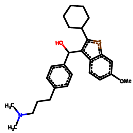 COc1ccc2c(C(O)c3ccc(CCCN(C)C)cc3)c(C3CCCCC3)sc2c1